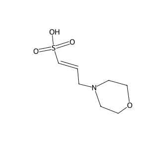 O=S(=O)(O)C=CCN1CCOCC1